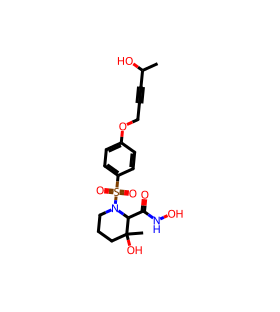 CC(O)C#CCOc1ccc(S(=O)(=O)N2CCCC(C)(O)C2C(=O)NO)cc1